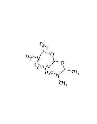 CC(OC([SiH3])OC(C)N(C)C)N(C)C